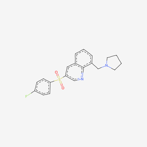 O=S(=O)(c1ccc(F)cc1)c1cnc2c(CN3CCCC3)cccc2c1